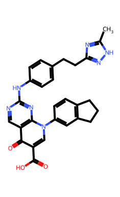 Cc1nc(CCc2ccc(Nc3ncc4c(=O)c(C(=O)O)cn(-c5ccc6c(c5)CCC6)c4n3)cc2)n[nH]1